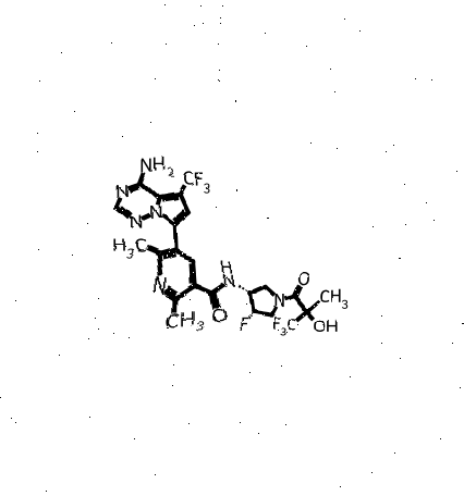 Cc1nc(C)c(-c2cc(C(F)(F)F)c3c(N)ncnn23)cc1C(=O)N[C@@H]1CN(C(=O)C(C)(O)C(F)(F)F)C[C@@H]1F